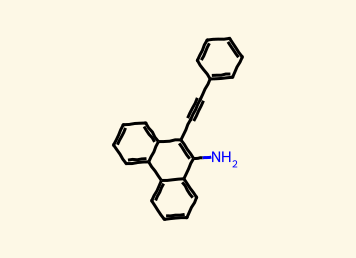 Nc1c(C#Cc2ccccc2)c2ccccc2c2ccccc12